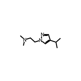 CC(C)c1cnn(CCN(C)C)c1